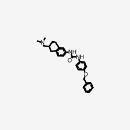 CN(C)CC1CCc2cc(NC(=O)Nc3ccc(OCc4ccccc4)cc3)ccc2C1